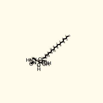 CCCCCCCCCCCCCCCCCC[C@]1(CO)O[C@@H](c2cc[nH]c(=O)n2)[C@@H](O)[C@@H]1O